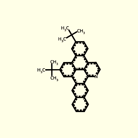 CC(C)(C)c1ccc2c(c1)c1cc(C(C)(C)C)cc3c4cc5ccccc5cc4c4nccc2c4c13